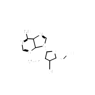 CO[C@H]1C(O)[C@@H](CO)O[C@H]1N1C=NC2C(N)=NC=NC21